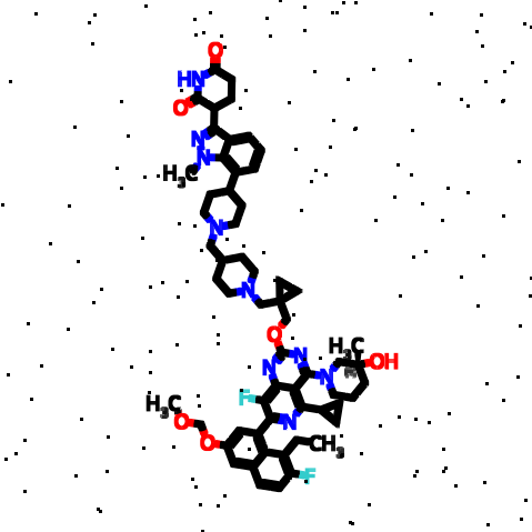 CCc1c(F)ccc2cc(OCOC)cc(-c3nc(C4CC4)c4c(N5CCC[C@@](C)(O)C5)nc(OCC5(CN6CCC(CN7CCC(c8cccc9c(C%10CCC(=O)NC%10=O)nn(C)c89)CC7)CC6)CC5)nc4c3F)c12